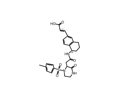 Cc1ccc(S(=O)(=O)N2CCNC(=O)C2CC(=O)N[C@@H]2CCCc3cc(/C=C/C(=O)O)ccc32)cc1